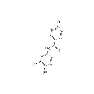 Nc1cc(NC(=O)c2ccc(Cl)cc2)ccc1O